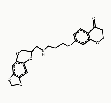 O=C1CCOc2cc(OCCCNCC3COc4cc5c(cc4O3)OCO5)ccc21